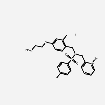 CCCCCCCCCCCCOc1ccc(CN(Cc2cccc[n+]2CC)S(=O)(=O)c2ccc(C)cc2)c(C)c1.[I-]